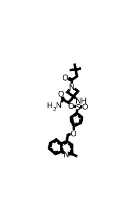 Cc1cc(COc2ccc(S(=O)(=O)NC3(CC(N)=O)CN(C(=O)CC(C)(C)C)C3)cc2)c2ccccc2n1